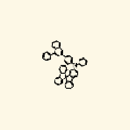 c1ccc(-c2cc(-c3ccc(N(c4ccccc4)c4ccc5c(c4)C4(c6ccccc6-c6ccccc64)c4ccccc4-5)cc3)cc3ccccc23)cc1